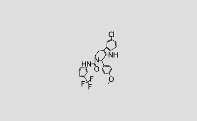 COc1ccc(C2c3[nH]c4ccc(Cl)cc4c3CCN2C(=O)Nc2cccc(C(F)(F)F)c2)cc1